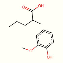 CCCC(C)C(=O)O.COc1ccccc1O